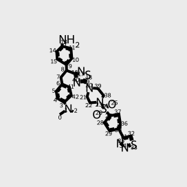 CN(C)c1ccc(CC(c2ccc(N)cc2)c2nsc(N3CCN(S(=O)(=O)c4ccc(-c5csnn5)cc4)CC3)n2)cc1